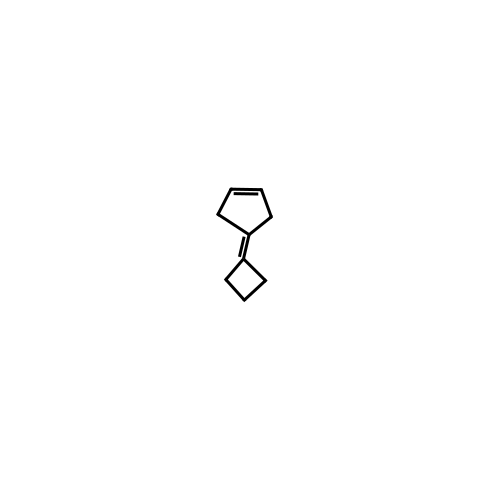 C1=CCC(=C2CCC2)C1